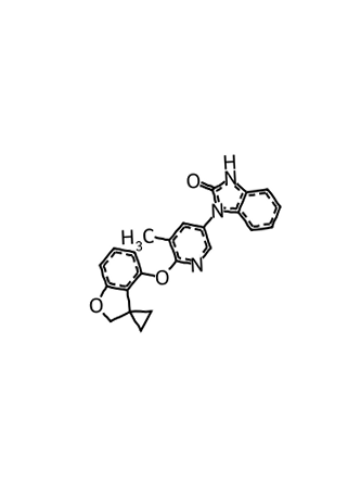 Cc1cc(-n2c(=O)[nH]c3ccccc32)cnc1Oc1cccc2c1C1(CC1)CO2